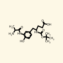 CC(N)C(=O)Nc1cc(CC(CCC(=O)O)NC(=O)OC(C)(C)C)ccc1O